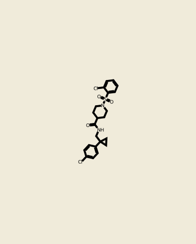 O=C(NCC1(c2ccc(Cl)cc2)CC1)C1CCN(S(=O)(=O)c2ccccc2Cl)CC1